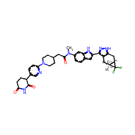 CN(C(=O)CC1CCN(c2ccc(C3CCC(=O)NC3=O)cn2)CC1)c1ccc2cc(-c3n[nH]c4c3C[C@@H]3C(F)(F)[C@]3(C)C4)[nH]c2c1